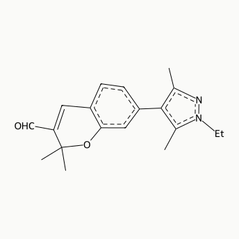 CCn1nc(C)c(-c2ccc3c(c2)OC(C)(C)C(C=O)=C3)c1C